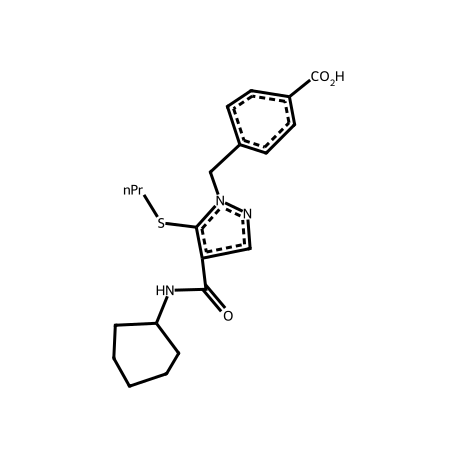 CCCSc1c(C(=O)NC2CCCCC2)cnn1Cc1ccc(C(=O)O)cc1